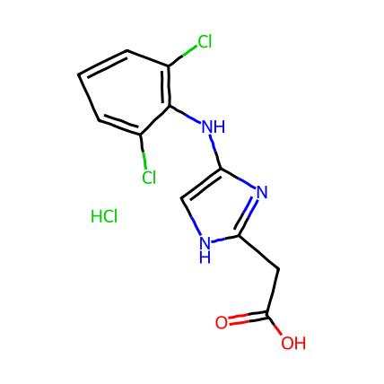 Cl.O=C(O)Cc1nc(Nc2c(Cl)cccc2Cl)c[nH]1